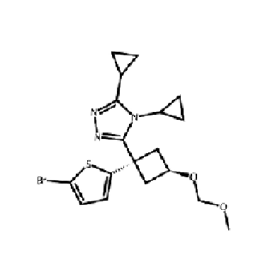 COCO[C@H]1C[C@@](c2ccc(Br)s2)(c2nnc(C3CC3)n2C2CC2)C1